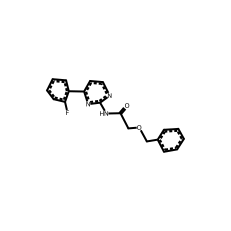 O=C(COCc1ccccc1)Nc1nccc(-c2ccccc2F)n1